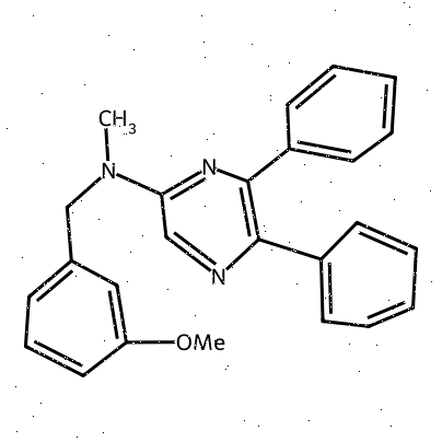 COc1cccc(CN(C)c2cnc(-c3ccccc3)c(-c3ccccc3)n2)c1